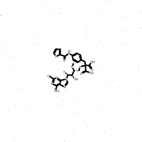 CO[C@H](COC(Cc1ccc(NC(=O)c2cccs2)cc1)(C(=O)O)C(=O)O)[C@@H](O)[C@H](F)n1cnc2c(N)nc(Cl)nc21